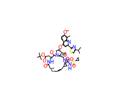 COc1ccc2c(O[C@@H]3C[C@H]4C(=O)N[C@]5(C(=O)NS(=O)(=O)C6CC6)CC5C=CCCCC(=O)N[C@@H](CC(=O)OC(C)(C)C)C(=O)N4C3)cc(-c3nc(C(C)C)cs3)nc2c1C